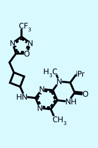 Cc1nc(NC2CC(Cc3nc(C(F)(F)F)no3)C2)nc2c1NC(=O)C(C(C)C)N2C